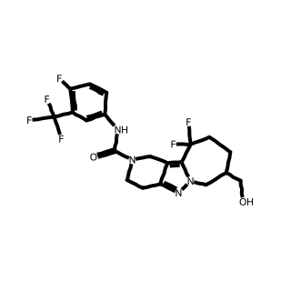 O=C(Nc1ccc(F)c(C(F)(F)F)c1)N1CCc2nn3c(c2C1)C(F)(F)CCC(CO)C3